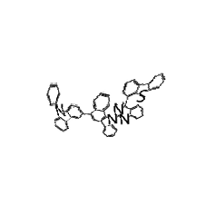 c1ccc(-n2c3ccccc3c3cc(-c4cc5c6ccccc6n(-c6nc(-c7cccc8c7sc7ccccc78)c7ccccc7n6)c5c5ccccc45)ccc32)cc1